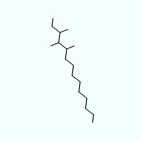 NCC(Br)C(Br)C(Br)CCCCCCCCBr